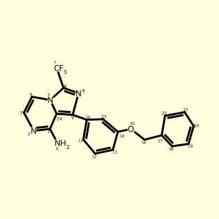 Nc1nccn2c(C(F)(F)F)nc(-c3cccc(OCc4ccccc4)c3)c12